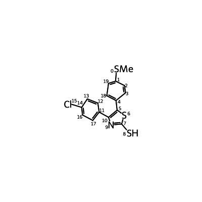 CSc1ccc(-c2sc(S)nc2-c2ccc(Cl)cc2)cc1